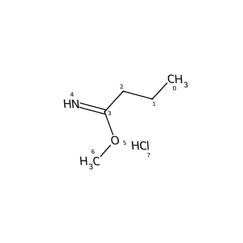 CCCC(=N)OC.Cl